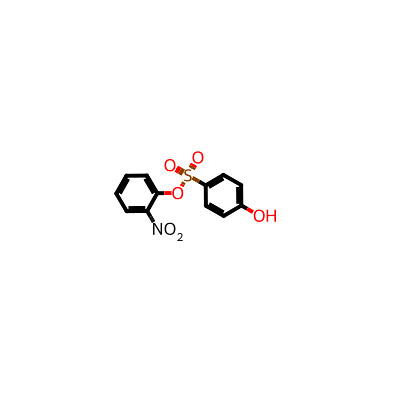 O=[N+]([O-])c1ccccc1OS(=O)(=O)c1ccc(O)cc1